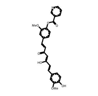 COc1cc(C=CC(O)=CC(=O)C=Cc2ccc(OC(=O)c3cccnc3)c(OC)c2)ccc1O